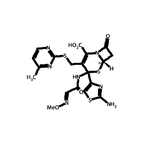 CON=CC(=O)NC1(c2csc(N)n2)S[C@H]2CC(=O)N2C(C(=O)O)=C1CSc1nccc(C)n1